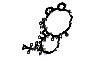 O=C1CCCCCOc2cccc(c2)-c2cccc(n2)NC(=O)N[C@@H]2C[C@H]3C(=O)N[C@]4(C(=O)NS(=O)(=O)C5CC5)C[C@H]4/C=C\CCCCC[C@H](N1)C(=O)N3C2